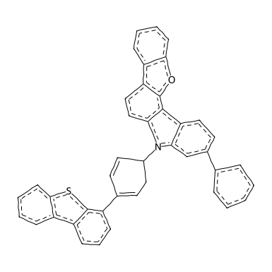 C1=CC(n2c3cc(-c4ccccc4)ccc3c3c4oc5ccccc5c4ccc32)CC=C1c1cccc2c1sc1ccccc12